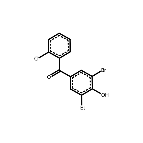 CCc1cc(C(=O)c2ccccc2Cl)cc(Br)c1O